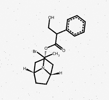 CC(Br)N1[C@@H]2CC[C@H]1C[C@@H](OC(=O)C(CO)c1ccccc1)C2